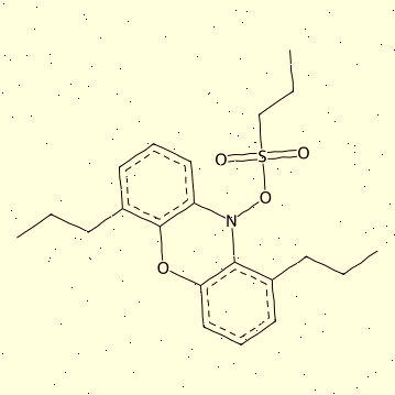 CCCc1cccc2c1Oc1cccc(CCC)c1N2OS(=O)(=O)CCC